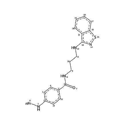 CCCNc1ccc(C(=O)NCCCNc2nsc3ccccc23)cc1